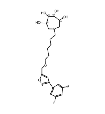 O[C@H]1[C@H](O)[C@@H](O)CN(CCCCCCOCc2cc(-c3cc(F)cc(F)c3)no2)C[C@@H]1O